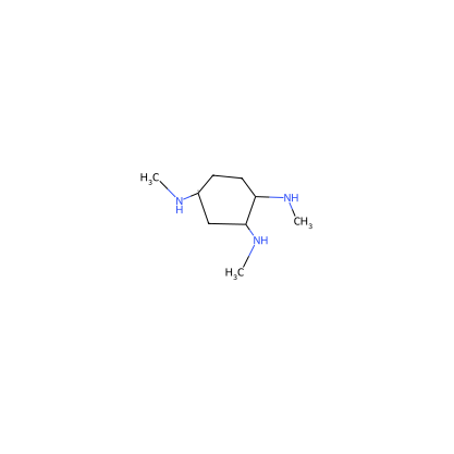 CN[C]1CCC(NC)C(NC)C1